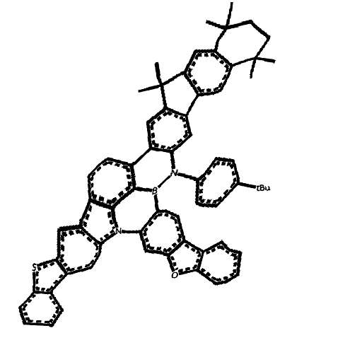 CC(C)(C)c1ccc(N2B3c4cc5c(cc4-n4c6cc7c(cc6c6ccc(c3c64)-c3cc4c(cc32)-c2cc3c(cc2C4(C)C)C(C)(C)CCC3(C)C)sc2ccccc27)oc2ccccc25)cc1